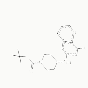 CC(C)(C)OC(=O)N1CCC(Nc2cc(Cl)c3ncccc3c2)CC1